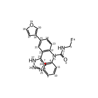 O=C(NCF)N(c1ccccc1)c1ccc(-c2ccoc2)cc1-c1nnn[nH]1